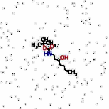 CCCCC(O)CCNC(=O)OC(C)(C)C